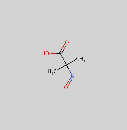 CC(C)(N=O)C(=O)O